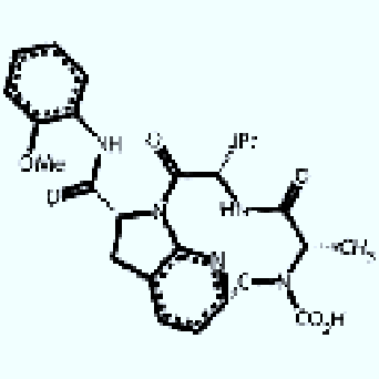 COc1ccccc1NC(=O)[C@H]1Cc2cccnc2N1C(=O)[C@@H](NC(=O)[C@H](C)N(C)C(=O)O)C(C)C